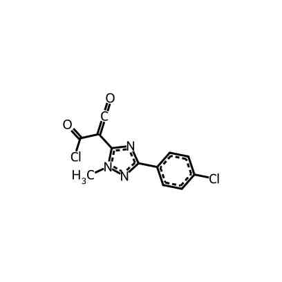 Cn1nc(-c2ccc(Cl)cc2)nc1C(=C=O)C(=O)Cl